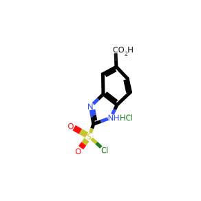 Cl.O=C(O)c1ccc2[nH]c(S(=O)(=O)Cl)nc2c1